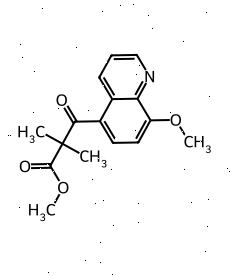 COC(=O)C(C)(C)C(=O)c1ccc(OC)c2ncccc12